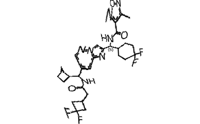 Cc1nonc1C(=O)N[C@H](c1cn2ncc(C(NC(=O)CC3CC(F)(F)C3)C3CCC3)cc2n1)C1CCC(F)(F)CC1